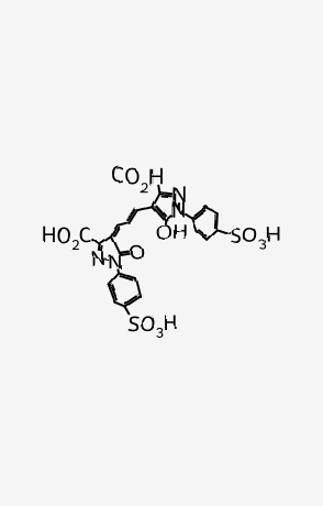 O=C(O)C1=NN(c2ccc(S(=O)(=O)O)cc2)C(=O)/C1=C\C=Cc1c(C(=O)O)nn(-c2ccc(S(=O)(=O)O)cc2)c1O